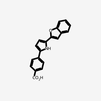 O=C(O)c1ccc(-c2ccc(-c3cc4ccccc4o3)[nH]2)cc1